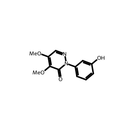 COc1cnn(-c2cccc(O)c2)c(=O)c1OC